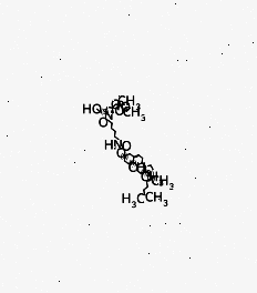 COP(C)(=O)OC1C[C@@H](CO)N(C(=O)CCCCCNC(=O)O[C@H]2CC[C@@]3(C)C(=CCC4C3CC[C@@]3(C)C4CC[C@@H]3[C@H](C)CCCC(C)C)C2)C1